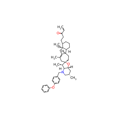 C=CC(=O)CC[C@@]1(C)CCC[C@H]2[C@@H]3CC[C@@]4(CC(C)=C3C[C@@H]21)O[C@@H]1C[C@H](C)CN(Cc2ccc(Oc3ccccc3)cc2)[C@H]1[C@H]4C